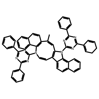 Cc1cc2c(ccn(-c3nc(-c4ccccc4)nc(-c4ccccc4)n3)c3c1ccc1ccccc13)c1ccc3ccccc3c1n2-c1nc(C2=CCCC=C2)nc(-c2ccccc2)n1